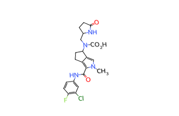 Cn1cc2c(c1C(=O)Nc1ccc(F)c(Cl)c1)CCC2N(CC1CCC(=O)N1)C(=O)O